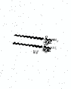 CCCCCCCCCCCCCCCCCCNC(=O)C(CC(N)=O)S(=O)(=O)[O-].CCCCCCCCCCCCCCCCCCNC(=O)C(CC(N)=O)S(=O)(=O)[O-].[Na+].[Na+]